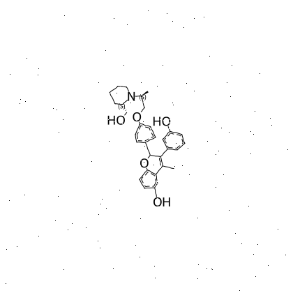 CC1=C(c2cccc(O)c2)C(c2ccc(OC[C@H](C)N3CCCC[C@H]3CO)cc2)Oc2ccc(O)cc21